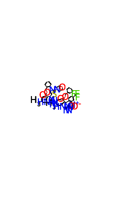 CC1=C(C(=O)OCc2ccccc2)C(c2ccc(C(F)(F)F)cc2[N+](=O)[O-])n2nnnc2N1.CC1=C(C(=O)OCc2ccccc2)C(c2cnc(N3CCOCC3)s2)n2nnnc2N1